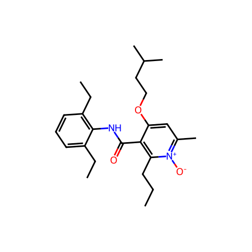 CCCc1c(C(=O)Nc2c(CC)cccc2CC)c(OCCC(C)C)cc(C)[n+]1[O-]